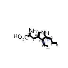 C=C/C=c1/[nH]cc(CC(N)C(=O)O)/c1=C/C